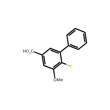 COc1cc(C(=O)O)cc(-c2ccccc2)c1F